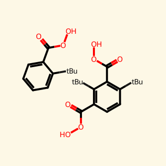 CC(C)(C)c1ccc(C(=O)OO)c(C(C)(C)C)c1C(=O)OO.CC(C)(C)c1ccccc1C(=O)OO